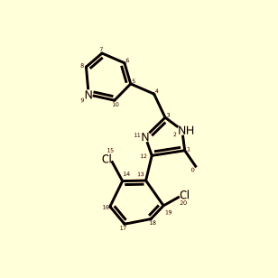 Cc1[nH]c(Cc2cccnc2)nc1-c1c(Cl)cccc1Cl